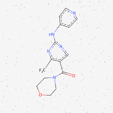 O=C(c1cnc(Nc2ccncc2)nc1C(F)(F)F)N1CCOCC1